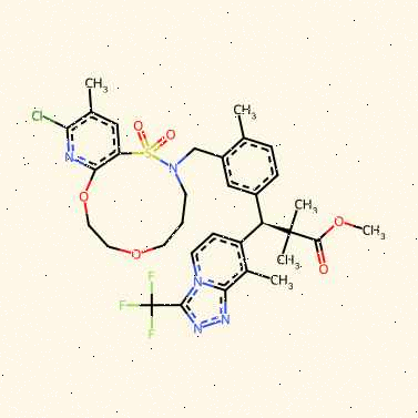 COC(=O)C(C)(C)[C@H](c1ccc(C)c(CN2CCCOCCOc3nc(Cl)c(C)cc3S2(=O)=O)c1)c1ccn2c(C(F)(F)F)nnc2c1C